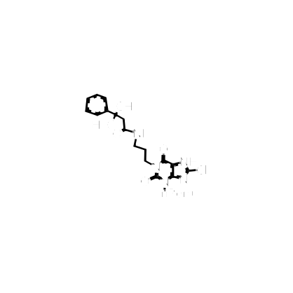 CCCCCn1c(=O)n(CCCNC(=O)CC(C)(C)c2ccccc2)c(=O)c2[nH]c(Cl)nc21